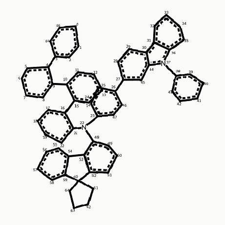 c1ccc(-c2ccccc2-c2ccccc2-c2ccccc2N(c2ccc(-c3ccc4c5ccccc5n(-c5ccccc5)c4c3)cc2)c2cccc3c2-c2ccccc2C32CCCC2)cc1